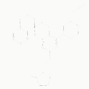 CN1CCC[C@H]1COc1nc2c(c(N3CCN[C@@H](CC#N)C3)n1)CCC1(CCCc3c(Cl)cccc31)C2